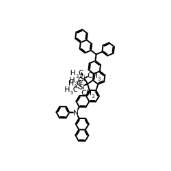 C[Si](C)(C)C1([Si](C)(C)C)c2c(ccc3cc(C(c4ccccc4)c4ccc5ccccc5c4)ccc23)-c2ccc3cc(N(c4ccccc4)c4ccc5ccccc5c4)ccc3c21